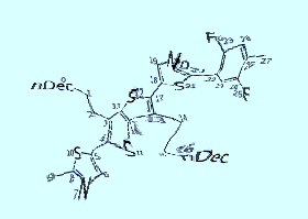 CCCCCCCCCCCCc1c(-c2cnc(C)s2)sc2c(CCCCCCCCCCCC)c(-c3cnc(-c4cc(F)c(C)cc4F)s3)sc12